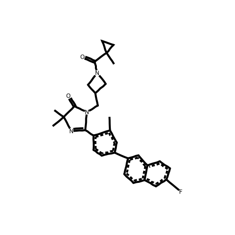 Cc1cc(-c2ccc3cc(F)ccc3c2)ccc1C1=NC(C)(C)C(=O)N1CC1CN(C(=O)C2(C)CC2)C1